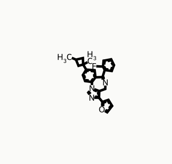 CC1CC(C)(c2ccc3c(c2)C(c2ccccc2F)=NCc2c(-c4ccco4)ncn2-3)C1